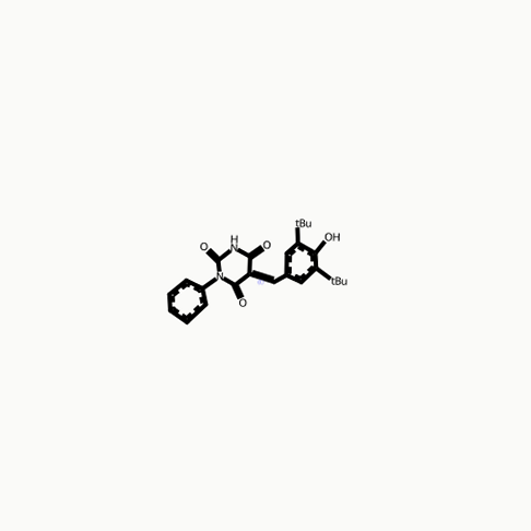 CC(C)(C)c1cc(/C=C2\C(=O)NC(=O)N(c3ccccc3)C2=O)cc(C(C)(C)C)c1O